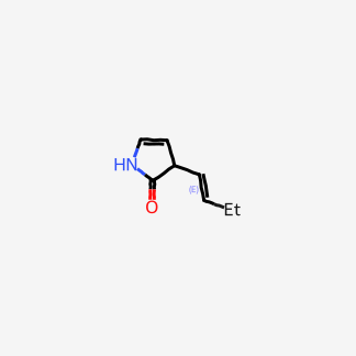 CC/C=C/C1C=CNC1=O